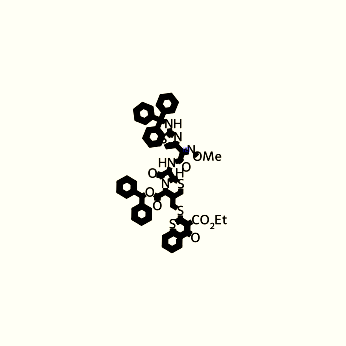 CCOC(=O)c1c(SCC2=C(C(=O)OC(c3ccccc3)c3ccccc3)N3C(=O)C(NC(=O)/C(=N\OC)c4csc(NC(c5ccccc5)(c5ccccc5)c5ccccc5)n4)[C@@H]3SC2)sc2ccccc2c1=O